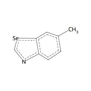 Cc1ccc2nc[se]c2c1